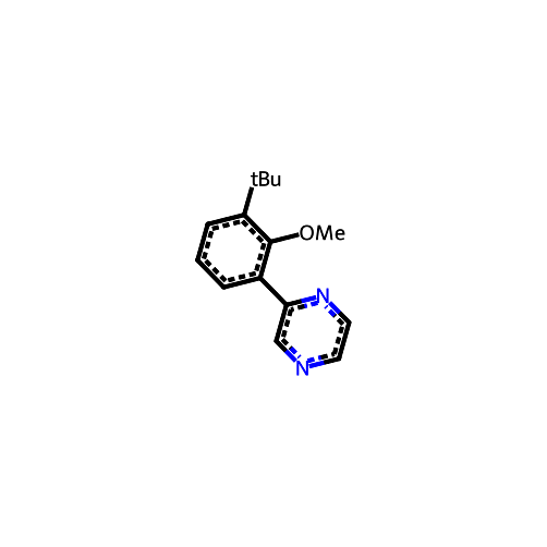 COc1c(-c2cnccn2)cccc1C(C)(C)C